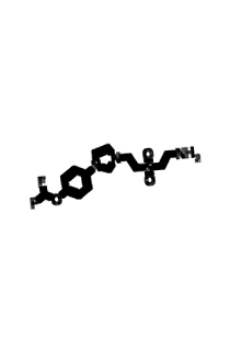 NCCS(=O)(=O)CCN1C=CN(c2ccc(OC(F)F)cc2)C1